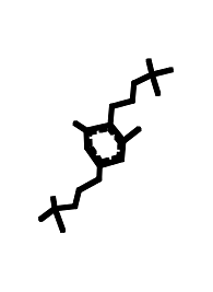 Cc1cc(CCCC(C)(C)C)cc(C)c1CCCC(C)(C)C